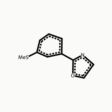 CSc1cccc(-c2ncco2)c1